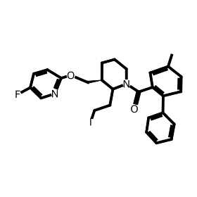 Cc1ccc(-c2ccccc2)c(C(=O)N2CCC[C@H](COc3ccc(F)cn3)C2CCI)c1